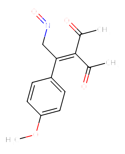 COc1ccc(C(CN=O)=C(C(C)=O)C(C)=O)cc1